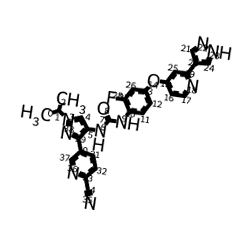 CC(C)n1cc(NC(=O)Nc2ccc(Oc3ccnc(-c4cn[nH]c4)c3)cc2F)c(-c2ccc(C#N)nc2)n1